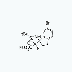 CCOC(=O)C(F)(F)[C@@]1(N[S+]([O-])C(C)(C)C)CCc2ccc(Br)cc21